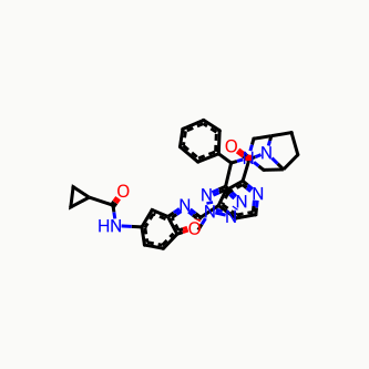 Cn1nnc(C(c2ccccc2)N2CC3CCC(C2)N3C(=O)c2cc(-c3nc4cc(NC(=O)C5CC5)ccc4o3)ccn2)n1